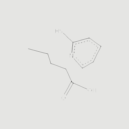 CCCCC(=O)O.Sc1ccccn1